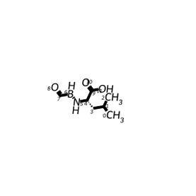 CC(C)C[C@H](NBC=O)C(=O)O